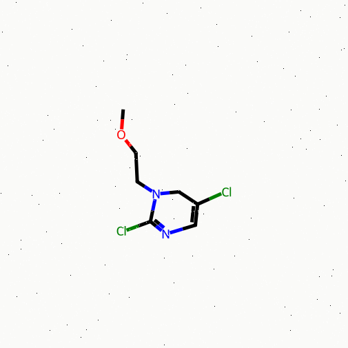 COCCN1CC(Cl)=CN=C1Cl